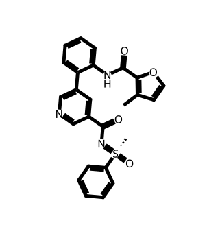 Cc1ccoc1C(=O)Nc1ccccc1-c1cncc(C(=O)N=[S@@](C)(=O)c2ccccc2)c1